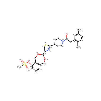 Cc1ccc(C)c(CC(=O)N2CCC(c3nc(C4OCc5cccc(OS(C)(=O)=O)c5CO4)cs3)CC2)c1